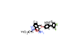 CSc1cc(F)c(F)cc1-c1ccc(OCc2cccc(C(=O)NCC(=O)O)c2CC(N)=O)cc1